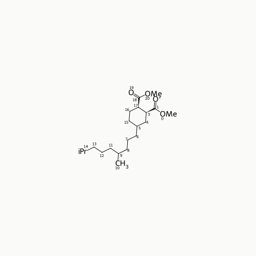 COC(=O)[C@H]1CC(CCCC(C)CCCC(C)C)CC[C@H]1C(=O)OC